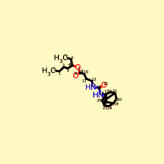 CCCCC(CC)OC(=O)CCCNC(=O)NC12CC3CC(CC(C3)C1)C2